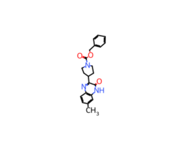 Cc1ccc2nc(C3CCN(C(=O)OCc4ccccc4)CC3)c(=O)[nH]c2c1